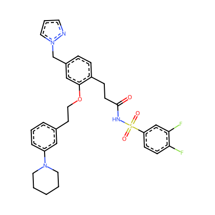 O=C(CCc1ccc(Cn2cccn2)cc1OCCc1cccc(N2CCCCC2)c1)NS(=O)(=O)c1ccc(F)c(F)c1